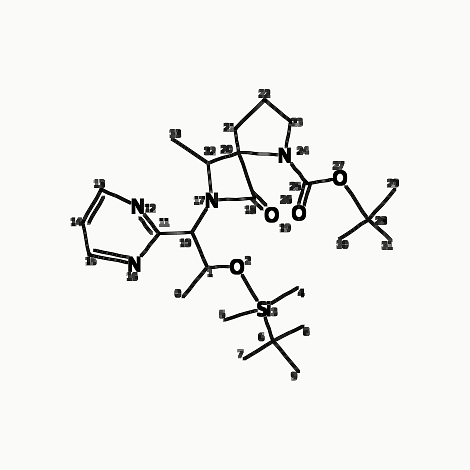 CC(O[Si](C)(C)C(C)(C)C)C(c1ncccn1)N1C(=O)C2(CCCN2C(=O)OC(C)(C)C)C1C